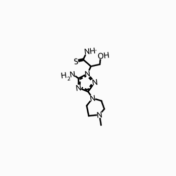 CN1CCN(c2nc(N)n(C(CO)C([NH])=S)n2)CC1